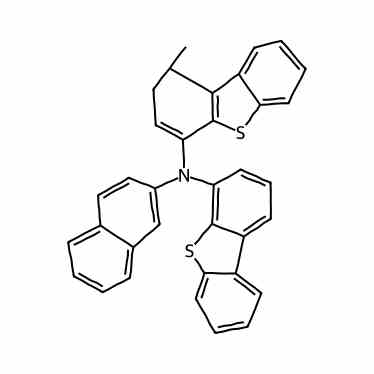 CC1CC=C(N(c2ccc3ccccc3c2)c2cccc3c2sc2ccccc23)c2sc3ccccc3c21